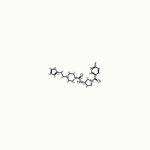 Cc1ccc(C(=O)N2CC[C@@H](NC(=O)N3CCN(CCc4cccs4)CC3)C2)cn1